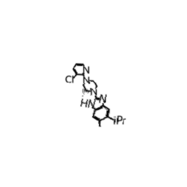 Cc1cc2[nH]c(N3CCN(c4ncccc4Cl)C[C@H]3C)nc2cc1C(C)C